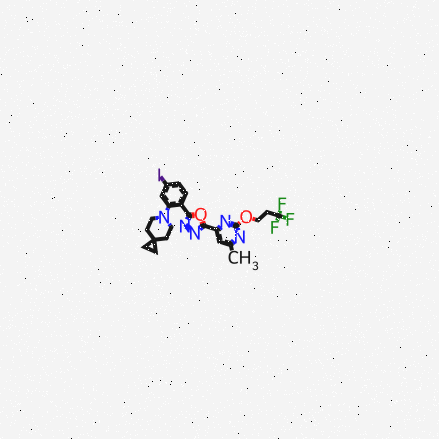 Cc1cc(-c2nnc(-c3ccc(I)cc3N3CCC4(CC3)CC4)o2)nc(OCCC(F)(F)F)n1